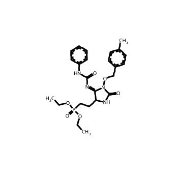 CCOP(=O)(CCC1NC(=O)N(OCc2ccc(C)cc2)C1=NC(=O)Nc1ccccc1)OCC